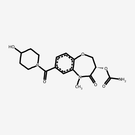 CN1C(=O)[C@@H](OC(N)=O)COc2ccc(C(=O)N3CCC(O)CC3)cc21